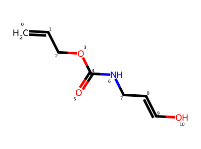 C=CCOC(=O)NCC=CO